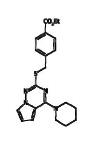 CCOC(=O)c1ccc(CSc2nc(N3CCCCC3)c3cccn3n2)cc1